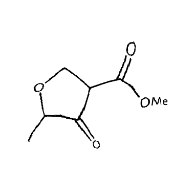 COC(=O)C1COC(C)C1=O